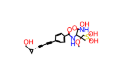 COC1(C(NC(=O)c2ccc(C#CC#C[C@@H]3C[C@H]3CO)cc2)C(=O)NO)CS(O)(O)C1